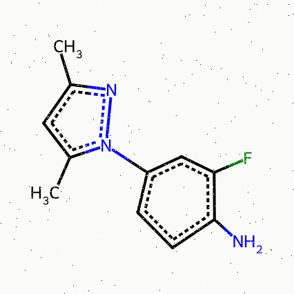 Cc1cc(C)n(-c2ccc(N)c(F)c2)n1